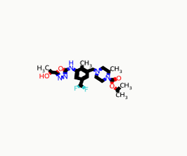 Cc1c(CN2CCN(C(=O)OC(C)C)[C@@H](C)C2)cc(C(F)F)cc1Nc1nnc(C(C)O)o1